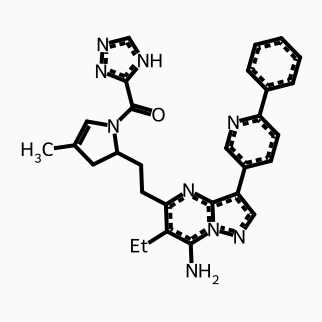 CCc1c(CCC2CC(C)=CN2C(=O)c2nnc[nH]2)nc2c(-c3ccc(-c4ccccc4)nc3)cnn2c1N